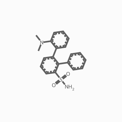 CN(C)c1ccccc1-c1cccc(S(N)(=O)=O)c1-c1ccccc1